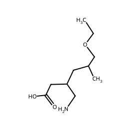 CCOCC(C)CC(CN)CC(=O)O